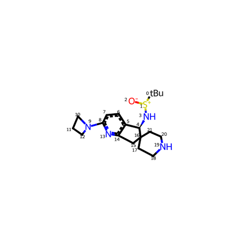 CC(C)(C)[S+]([O-])N[C@@H]1c2ccc(N3CCC3)nc2CC12CCNCC2